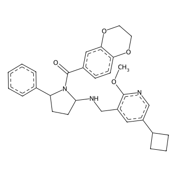 COc1ncc(C2CCC2)cc1CNC1CCC(c2ccccc2)N1C(=O)c1ccc2c(c1)OCCO2